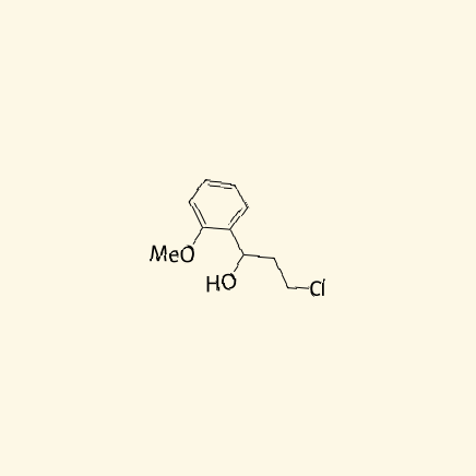 COc1ccccc1C(O)CCCl